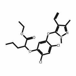 C=Cc1c(C)nn(C)c1Oc1cc(OC(CCC)C(=O)OCC)c(Cl)cc1Cl